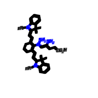 CCCN1/C(=C/C=C2\CCCC(/C=C/C3N(CCC)c4ccccc4C3(C)C)=C2N(N)/C=C(\N)CCC(=O)O)C(C)(C)c2ccccc21